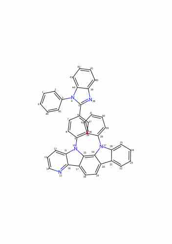 c1ccc(-n2c(-c3ccc(-n4c5cccnc5c5ccc6c7ccccc7n(-c7ccccc7)c6c54)cc3)nc3ccccc32)cc1